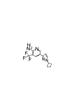 Nc1ncc(-c2ccn(C3CCC3)n2)cc1C(F)(F)F